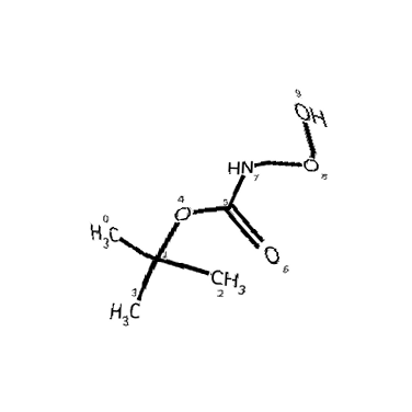 CC(C)(C)OC(=O)NOO